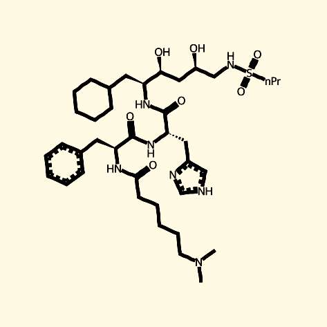 CCCS(=O)(=O)NC[C@H](O)C[C@H](O)[C@H](CC1CCCCC1)NC(=O)[C@H](Cc1c[nH]cn1)NC(=O)[C@H](Cc1ccccc1)NC(=O)CCCCCN(C)C